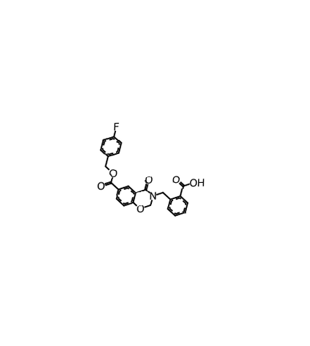 O=C(OCc1ccc(F)cc1)c1ccc2c(c1)C(=O)N(Cc1ccccc1C(=O)O)CO2